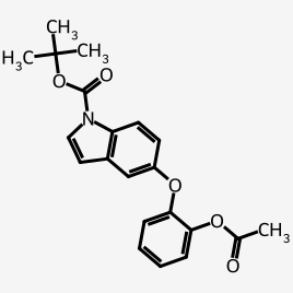 CC(=O)Oc1ccccc1Oc1ccc2c(ccn2C(=O)OC(C)(C)C)c1